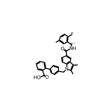 Cc1ccc(F)c([C@H](C)NC(=O)c2ccc3c(c2)c(C)c(C)n3Cc2ccc(-c3ccccc3C(=O)O)cc2)c1